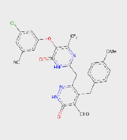 COc1ccc(Cc2c(Cc3nc(C(F)(F)F)c(Oc4cc(Cl)cc(C#N)c4)c(=O)[nH]3)n[nH]c(=O)c2C=O)cc1